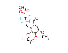 COC(=O)C(F)(F)C(F)(F)Cc1c(C=O)cc(OC)c(OC)c1OC